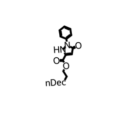 CCCCCCCCCCCCOC(=O)c1cc(=O)n(-c2ccccc2)[nH]1